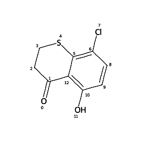 O=C1CCSc2c(Cl)ccc(O)c21